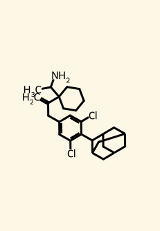 C=C(Cc1cc(Cl)c(C2C3CC4CC(C3)CC2C4)c(Cl)c1)C1(C(C)N)CCCCC1